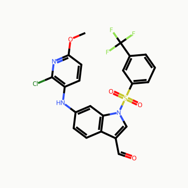 COc1ccc(Nc2ccc3c(C=O)cn(S(=O)(=O)c4cccc(C(F)(F)F)c4)c3c2)c(Cl)n1